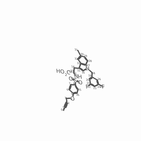 CC#CCOc1ccc(S(=O)(=O)N[C@@H](Cc2cn(Cc3cc(F)cc(F)c3)c3ccc(C)cc23)C(=O)O)cc1